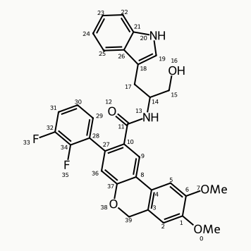 COc1cc2c(cc1OC)-c1cc(C(=O)NC(CO)Cc3c[nH]c4ccccc34)c(-c3cccc(F)c3F)cc1OC2